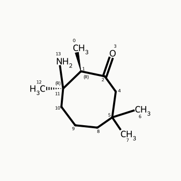 C[C@H]1C(=O)CC(C)(C)CCC[C@@]1(C)N